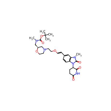 CN(C[C@H]1CN(CCO/C=C/c2ccc3c(c2)n(C)c(=O)n3C2CCC(=O)NC2=O)CCO1)C(=O)OC(C)(C)C